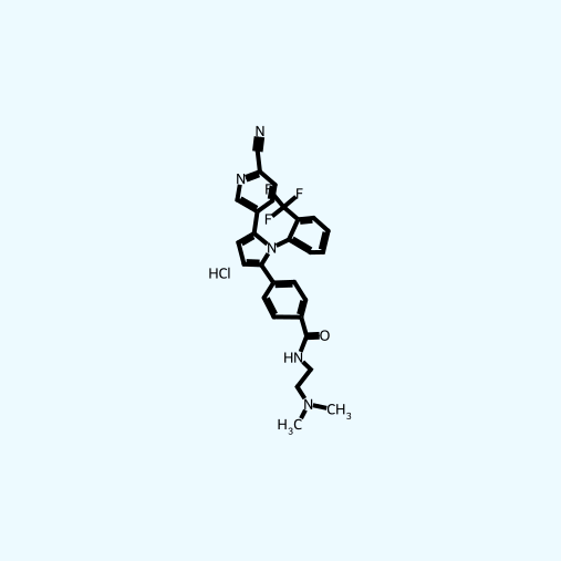 CN(C)CCNC(=O)c1ccc(-c2ccc(-c3ccc(C#N)nc3)n2-c2ccccc2C(F)(F)F)cc1.Cl